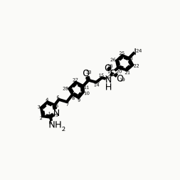 Nc1cccc(CCc2ccc(C(=O)[CH]CNS(=O)(=O)c3ccc(I)cc3)cc2)n1